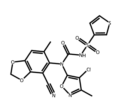 Cc1cc2c(c(C#N)c1N(C(=O)NS(=O)(=O)c1ccsc1)c1onc(C)c1Cl)OCO2